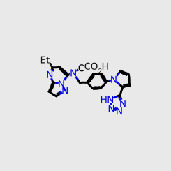 CCc1cc(N(CC(=O)O)Cc2ccc(-n3cccc3-c3nnn[nH]3)cc2)n2nccc2n1